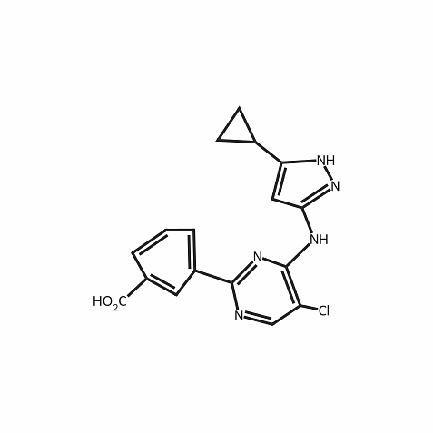 O=C(O)c1cccc(-c2ncc(Cl)c(Nc3cc(C4CC4)[nH]n3)n2)c1